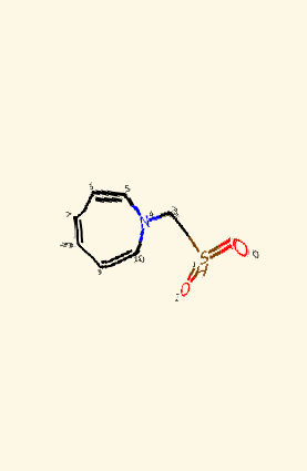 O=[SH](=O)CN1C=CC=CC=C1